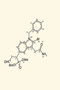 COP(=O)(OC)C(CC=O)c1ccc2c(c1)c(CC(N)=O)c(Br)n2Cc1ccccc1